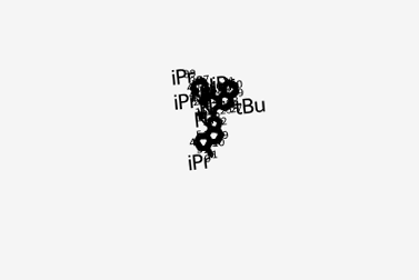 CC(C)Cc1cccc2c3c(ccc12)CC1C2=[N+](C=NC31)C1(C)C(C)(c3c2cc(C(C)(C)C)c2ccccc32)C12N(C(C)C)C=C(C(C)C)C=[N+]2C(C)C